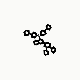 C1=CC(C2c3oc4c(cc(N(c5ccc(-c6ccccc6)cc5)c5ccc(-c6ccccc6)cc5)c5ccccc54)c3C=CC2c2ccccc2)=CCC1